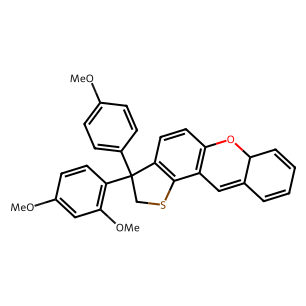 COc1ccc(C2(c3ccc(OC)cc3OC)CSc3c2ccc2c3C=C3C=CC=CC3O2)cc1